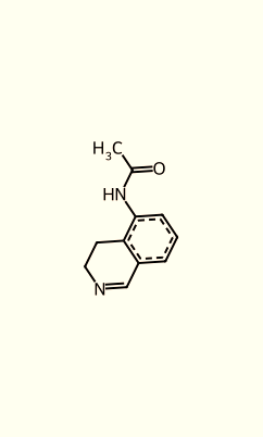 CC(=O)Nc1cccc2c1CCN=C2